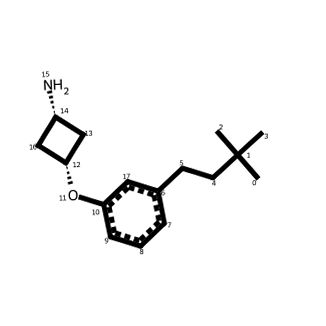 CC(C)(C)CCc1cccc(O[C@H]2C[C@@H](N)C2)c1